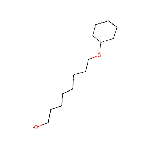 [O]CCCCCCCCOC1CCCCC1